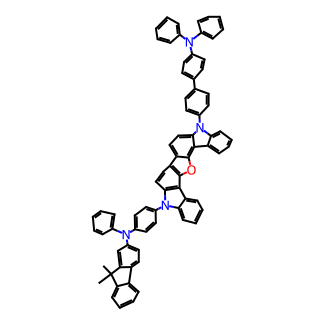 CC1(C)c2ccccc2-c2ccc(N(c3ccccc3)c3ccc(-n4c5ccccc5c5c6oc7c(ccc8c7c7ccccc7n8-c7ccc(-c8ccc(N(c9ccccc9)c9ccccc9)cc8)cc7)c6ccc54)cc3)cc21